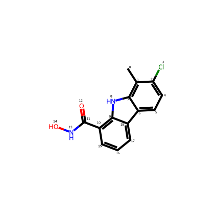 Cc1c(Cl)ccc2c1[nH]c1c(C(=O)NO)cccc12